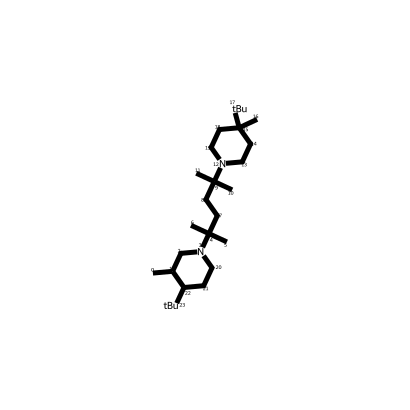 CC1CN(C(C)(C)CCC(C)(C)N2CCC(C)(C(C)(C)C)CC2)CCC1C(C)(C)C